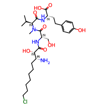 CC(C)[C@@H](C(=O)N[C@@H](CCc1ccc(O)cc1)C(=O)O)N(C)C(=O)[C@H](CO)NC(=O)[C@@H](O)[C@H](N)CCCCCCCCl